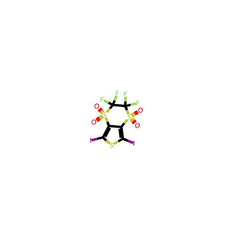 O=S1(=O)c2c(I)sc(I)c2S(=O)(=O)C(F)(F)C1(F)F